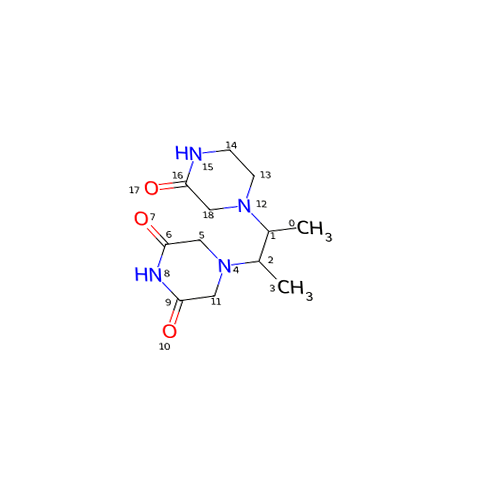 CC(C(C)N1CC(=O)NC(=O)C1)N1CCNC(=O)C1